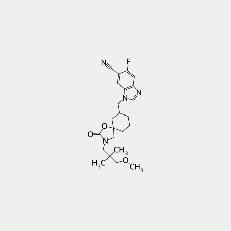 COCC(C)(C)CN1CC2(CCCC(Cn3cnc4cc(F)c(C#N)cc43)C2)OC1=O